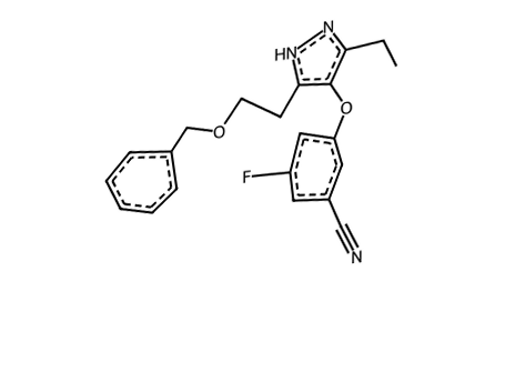 CCc1n[nH]c(CCOCc2ccccc2)c1Oc1cc(F)cc(C#N)c1